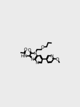 CCCOCCn1c(=O)c(NC(C)=O)nc2ncc(-c3ccc(OC)nc3)cc21